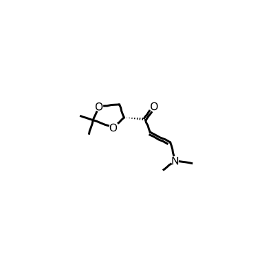 CN(C)C=CC(=O)[C@H]1COC(C)(C)O1